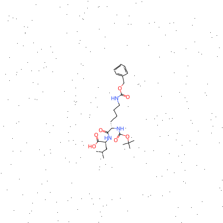 CC(C)C[C@H](NC(=O)[C@H](CCCCNC(=O)OCc1ccccc1)NC(=O)OC(C)(C)C)C(=O)O